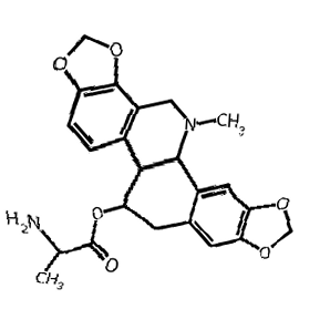 CC(N)C(=O)OC1Cc2cc3c(cc2C2C1c1ccc4c(c1CN2C)OCO4)OCO3